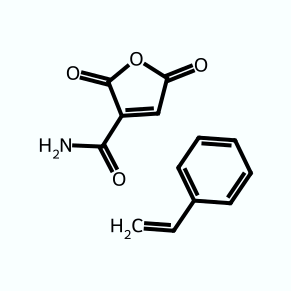 C=Cc1ccccc1.NC(=O)C1=CC(=O)OC1=O